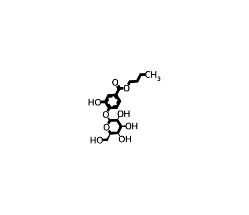 CCCCOC(=O)c1ccc(O[C@@H]2O[C@H](CO)[C@@H](O)[C@H](O)[C@H]2O)c(O)c1